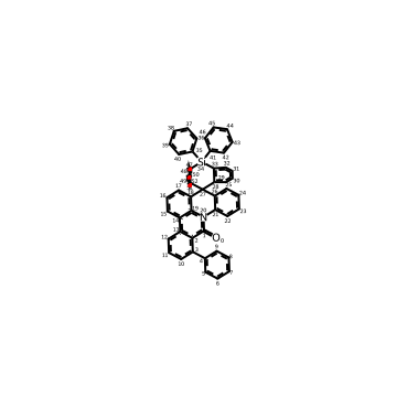 O=c1c2c(-c3ccccc3)cccc2c2cccc3c2n1-c1ccccc1C31c2ccccc2[Si](c2ccccc2)(c2ccccc2)c2ccccc21